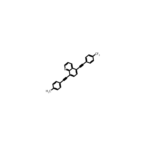 Cc1ccc(C#Cc2ccc(C#Cc3ccc(C(F)(F)F)cc3)c3cccnc23)cc1